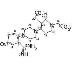 N=C(N)c1cc(O)ccc1N1CCN(C2CCN(CC(=O)O)CC2CC(=O)O)CC1